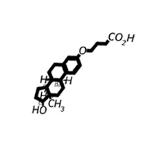 C[C@]12CC[C@@H]3c4ccc(OCCCC(=O)O)cc4CC[C@H]3[C@@H]1CC[C@@H]2O